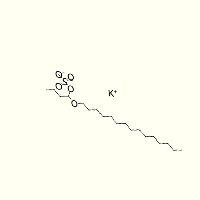 CCCCCCCCCCCCCCCOC(CCC)OS(=O)(=O)[O-].[K+]